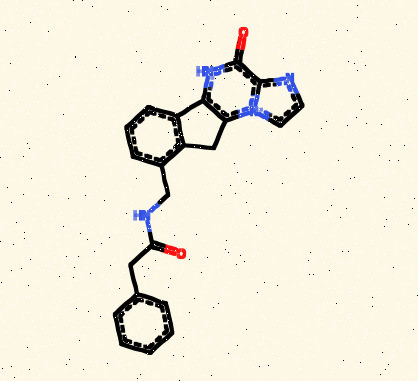 O=C(Cc1ccccc1)NCc1cccc2c1Cc1c-2[nH]c(=O)c2nccn12